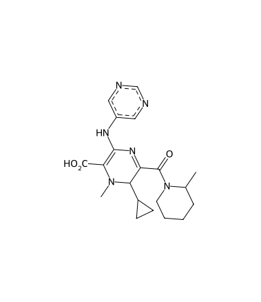 CC1CCCCN1C(=O)C1=NC(Nc2cncnc2)=C(C(=O)O)N(C)C1C1CC1